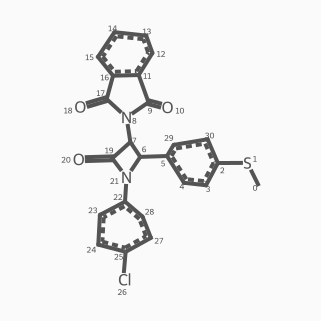 CSc1ccc(C2C(N3C(=O)c4ccccc4C3=O)C(=O)N2c2ccc(Cl)cc2)cc1